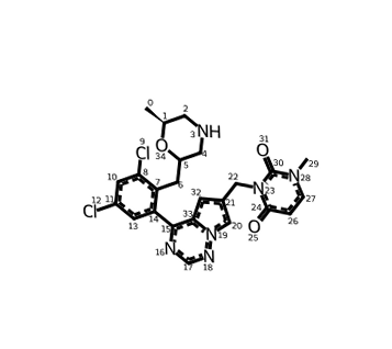 C[C@H]1CNCC(Cc2c(Cl)cc(Cl)cc2-c2ncnn3cc(Cn4c(=O)ccn(C)c4=O)cc23)O1